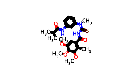 COC1=CC(C(=O)NC(=S)N(C)c2cccc(NC(=O)C(C)C)c2)=C(C)C(OC)C1OC